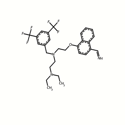 CCN(CC)CCN(CCOc1ccc(C=N)c2ccccc12)Cc1cc(C(F)(F)F)cc(C(F)(F)F)c1